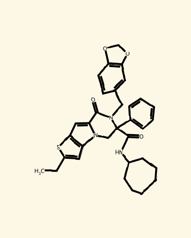 CCc1cc2c(cc3n2CC(C(=O)NC2CCCCCC2)(c2ccccc2)N(Cc2ccc4c(c2)OCO4)C3=O)s1